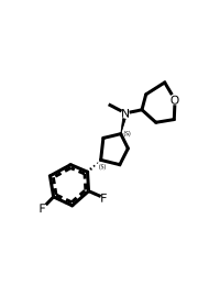 CN(C1CCOCC1)[C@H]1CC[C@H](c2ccc(F)cc2F)C1